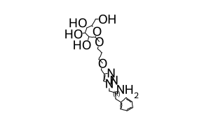 N[C@H](Cc1ccccc1)Cn1cc(COCCCOC2OC(CO)C(O)C(O)C2O)nn1